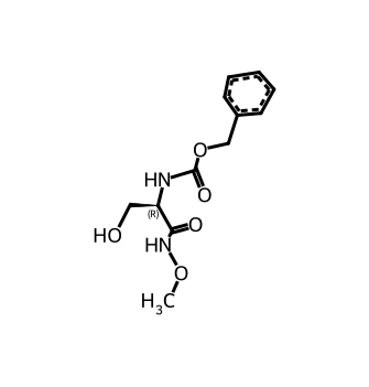 CONC(=O)[C@@H](CO)NC(=O)OCc1ccccc1